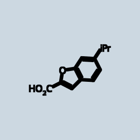 CC(C)c1ccc2cc(C(=O)O)oc2c1